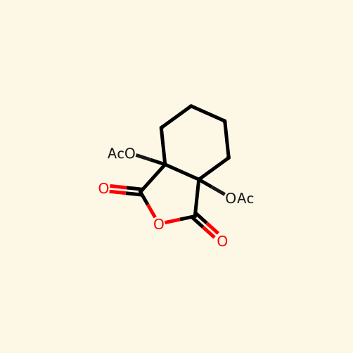 CC(=O)OC12CCCCC1(OC(C)=O)C(=O)OC2=O